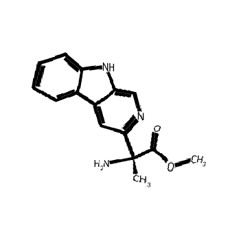 COC(=O)[C@](C)(N)c1cc2c(cn1)[nH]c1ccccc12